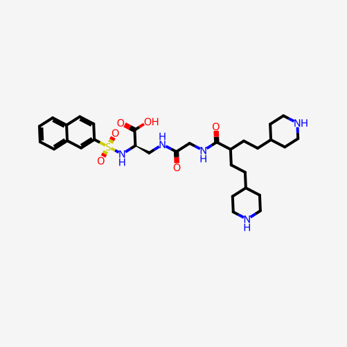 O=C(CNC(=O)C(CCC1CCNCC1)CCC1CCNCC1)NC[C@@H](NS(=O)(=O)c1ccc2ccccc2c1)C(=O)O